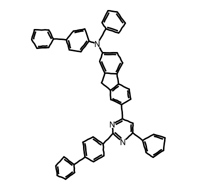 c1ccc(-c2ccc(-c3nc(-c4ccccc4)cc(-c4ccc5c(c4)Cc4cc(N(c6ccccc6)c6ccc(-c7ccccc7)cc6)ccc4-5)n3)cc2)cc1